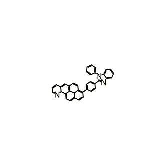 C1=CC2=CC3=C4C(=CC=C5C=CC(c6ccc(-c7nc8ccccc8n7-c7ccccc7)cc6)=C(C=C3)C54)C2N=C1